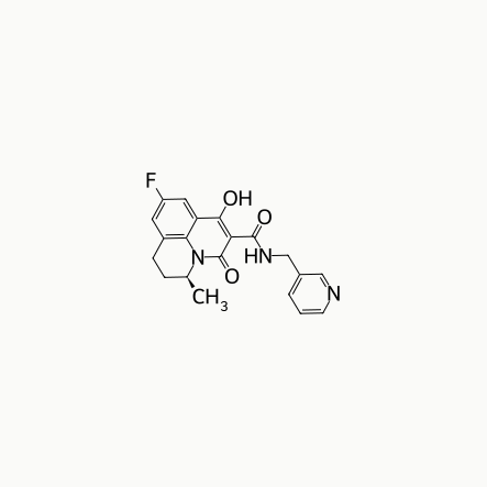 C[C@H]1CCc2cc(F)cc3c(O)c(C(=O)NCc4cccnc4)c(=O)n1c23